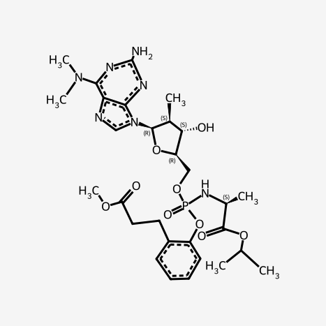 COC(=O)CCc1ccccc1OP(=O)(N[C@@H](C)C(=O)OC(C)C)OC[C@H]1O[C@@H](n2cnc3c(N(C)C)nc(N)nc32)[C@@H](C)[C@@H]1O